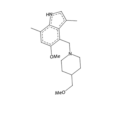 COCC1CCN(Cc2c(OC)cc(C)c3[nH]cc(C)c23)CC1